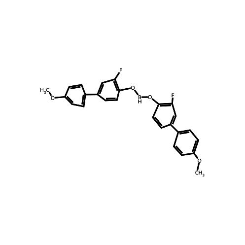 COc1ccc(-c2ccc(OBOc3ccc(-c4ccc(OC)cc4)cc3F)c(F)c2)cc1